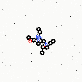 c1ccc(-c2ccc(-c3c(-n4c5ccccc5c5cc6ccccc6cc54)ccc(-c4nc(-c5ccc6ccccc6c5)nc(-c5ccc6oc7ccccc7c6c5)n4)c3-c3ccccc3)cc2)cc1